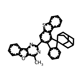 Cc1nc(-c2cc3sc4ccccc4c3c3c2-c2ccccc2C32C3CC4CC(C3)CC2C4)nc2c1oc1ccccc12